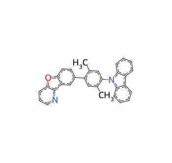 Cc1cc(-n2c3ccccc3c3ccccc32)c(C)cc1-c1ccc2oc3cccnc3c2c1